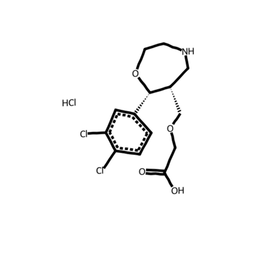 Cl.O=C(O)COC[C@H]1CNCCO[C@H]1c1ccc(Cl)c(Cl)c1